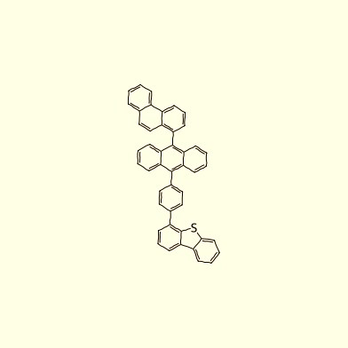 c1ccc2c(c1)ccc1c(-c3c4ccccc4c(-c4ccc(-c5cccc6c5sc5ccccc56)cc4)c4ccccc34)cccc12